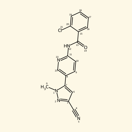 Cn1nc(C#N)cc1-c1ccc(NC(=O)c2ccccc2Cl)nc1